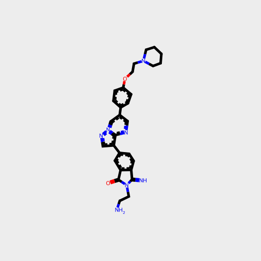 N=C1c2ccc(-c3cnn4cc(-c5ccc(OCCN6CCCCC6)cc5)cnc34)cc2C(=O)N1CCN